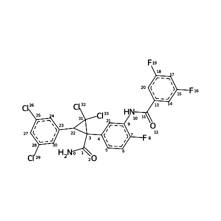 NC(=O)C1(c2ccc(F)c(NC(=O)c3cc(F)cc(F)c3)c2)C(c2cc(Cl)cc(Cl)c2)C1(Cl)Cl